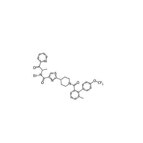 CCN(C(=O)c1csc(C2CCN(C(=O)c3cccc(C)c3-c3ccc(OC(F)(F)F)cc3)CC2)n1)C(C)C(=O)c1ccccn1